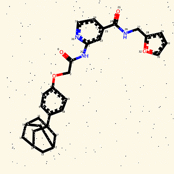 O=C(COc1ccc(C23CC4CC(CC(C4)C2)C3)cc1)Nc1cc(C(=O)NCc2ccco2)ccn1